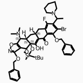 CC(c1c(F)c2c(c(OCc3ccccc3)c1Br)C(=O)C1=C(O)[C@]3(O[Si](C)(C)C(C)(C)C)C(=O)c4c(OCc5ccccc5)noc4[C@@H](N(C)C)[C@@H]3C[C@@H]1C2)N1CCCCC1